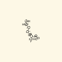 Cc1c(-c2c[nH]c([C@@H]3CCCN3)n2)cccc1-c1cccc(-c2nc3cc(CN4CCC[C@H]4C(=O)O)c(OC(F)F)cc3o2)c1C